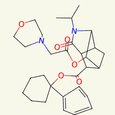 CC(C)N1C(=O)C2C3CC(C(OC(=O)CN4CCOCC4)C31)C2C(=O)OC1(c2ccccc2)CCCCC1